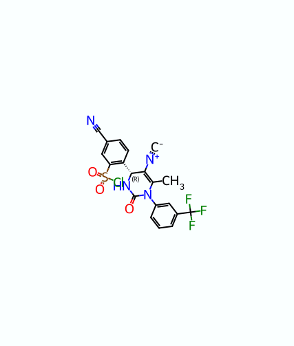 [C-]#[N+]C1=C(C)N(c2cccc(C(F)(F)F)c2)C(=O)N[C@@H]1c1ccc(C#N)cc1S(=O)(=O)Cl